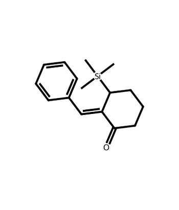 C[Si](C)(C)C1CCCC(=O)C1=Cc1ccccc1